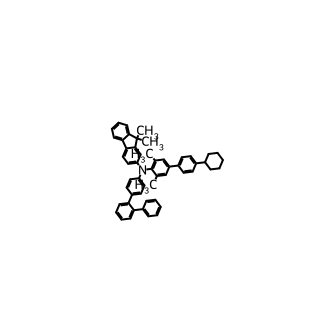 Cc1cc(-c2ccc(C3CCCCC3)cc2)cc(C)c1N(c1ccc(-c2ccccc2-c2ccccc2)cc1)c1ccc2c(c1)C(C)(C)c1ccccc1-2